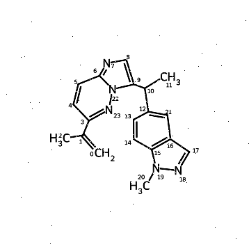 C=C(C)c1ccc2ncc(C(C)c3ccc4c(cnn4C)c3)n2n1